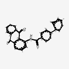 O=C(Nc1cccc2c1C(=O)c1ccccc1C2=O)c1ccc(-c2ccccc2)cc1